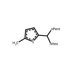 CCCCCCC(CCCCC)c1ccc(C)s1